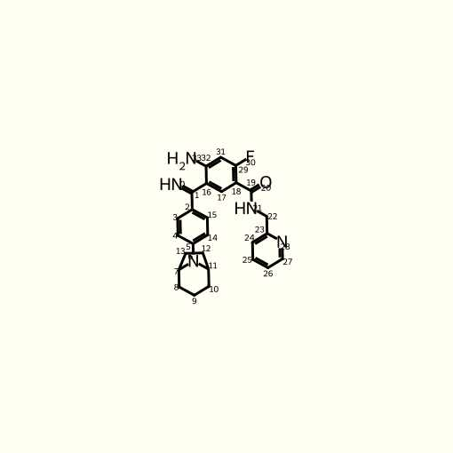 N=C(c1ccc(N2C3CCCC2CC3)cc1)c1cc(C(=O)NCc2ccccn2)c(F)cc1N